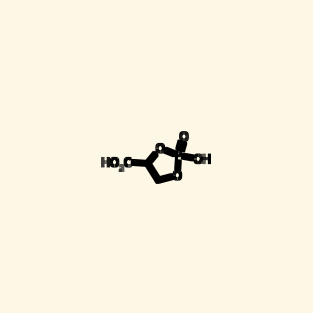 O=C(O)C1COP(=O)(O)O1